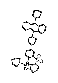 O=S1(=O)c2cc(-c3ccc(-c4c5ccccc5c(-c5ccccc5)c5ccccc45)cc3)ccc2-n2c(-c3ccccc3)nc3cccc1c32